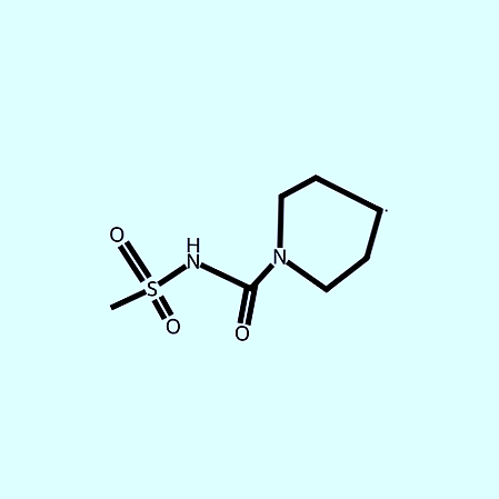 CS(=O)(=O)NC(=O)N1CC[CH]CC1